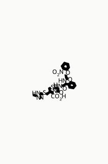 Cc1nnc(SCC2=C(C(=O)O)N3C(=O)C(NC(=O)[C@@H](NC(=O)COc4ccccc4[N+](=O)[O-])c4ccccc4)[C@@H]3SC2)[nH]1